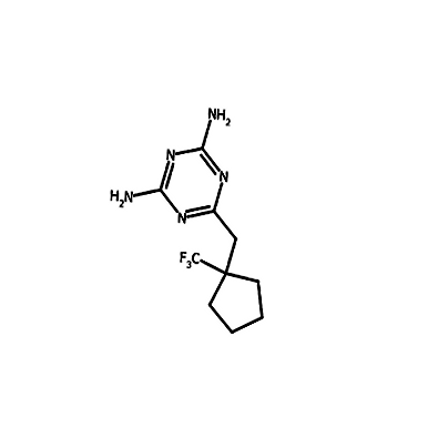 Nc1nc(N)nc(CC2(C(F)(F)F)CCCC2)n1